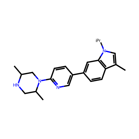 Cc1cn(C(C)C)c2cc(-c3ccc(N4CC(C)NCC4C)nc3)ccc12